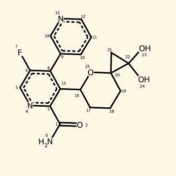 NC(=O)c1ncc(F)c(-c2cccnc2)c1C1CCCC2(CC2(O)O)O1